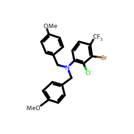 COc1ccc(CN(Cc2ccc(OC)cc2)c2ccc(C(F)(F)F)c(Br)c2Cl)cc1